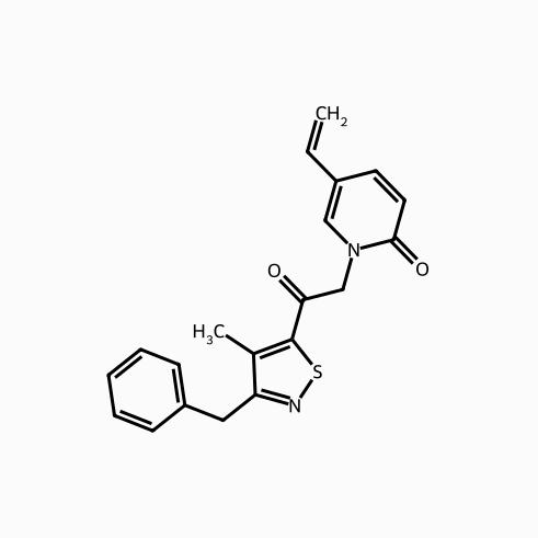 C=Cc1ccc(=O)n(CC(=O)c2snc(Cc3ccccc3)c2C)c1